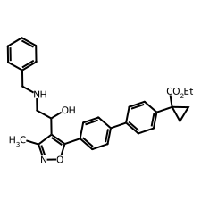 CCOC(=O)C1(c2ccc(-c3ccc(-c4onc(C)c4C(O)CNCc4ccccc4)cc3)cc2)CC1